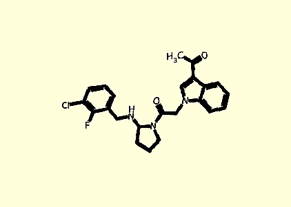 CC(=O)c1cn(CC(=O)N2CCCC2NCc2cccc(Cl)c2F)c2ccccc12